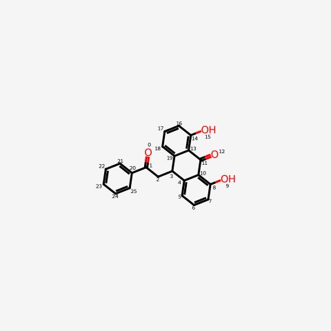 O=C(CC1c2cccc(O)c2C(=O)c2c(O)cccc21)c1ccccc1